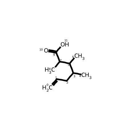 C=CCC(C)C(C)C(C)C(=O)O